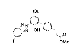 COC(=O)CCc1ccc(-c2cc(C(C)(C)C)cc(-n3nc4ccc(I)cc4n3)c2O)cc1